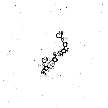 CCc1nc2c(cnn2CC)c(NC2CCOCC2)c1CNC(=O)c1cccc(C(=O)NCc2ccc(F)c(-c3cccc(CNC4CCCCNC4)c3)c2)c1